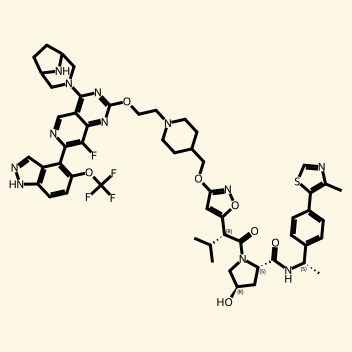 Cc1ncsc1-c1ccc([C@H](C)NC(=O)[C@@H]2C[C@@H](O)CN2C(=O)[C@@H](c2cc(OCC3CCN(CCOc4nc(N5CC6CCC(C5)N6)c5cnc(-c6c(OC(F)(F)F)ccc7[nH]ncc67)c(F)c5n4)CC3)no2)C(C)C)cc1